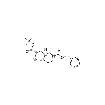 C[C@H]1CN2CCN(C(=O)OCc3ccccc3)C[C@@H]2CN1C(=O)OC(C)(C)C